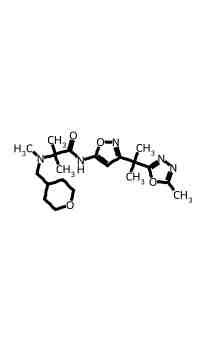 Cc1nnc(C(C)(C)c2cc(NC(=O)C(C)(C)N(C)CC3CCOCC3)on2)o1